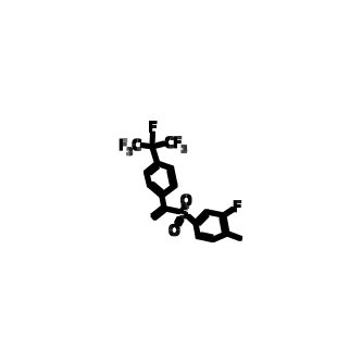 C=C(c1ccc(C(F)(C(F)(F)F)C(F)(F)F)cc1)S(=O)(=O)c1ccc(C)c(F)c1